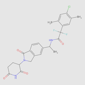 Bc1cc(C(F)(F)C(=O)NC(B)c2ccc3c(c2)CN(C2CCC(=O)NC2=O)C3=O)c(B)cc1Cl